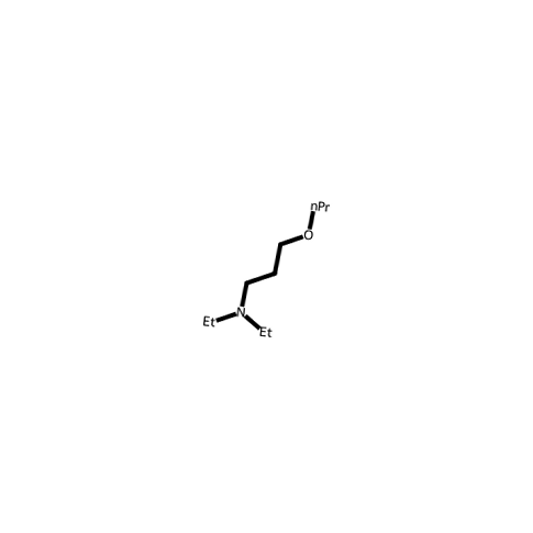 [CH2]CCOCCCN(CC)CC